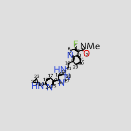 CNC(=O)c1c(F)cnc2c(CCNc3cc(-c4ccc(NC5CC5)nc4)ncn3)cccc12